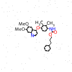 COc1cc2nccc(Oc3ccc(NC(=O)OCCCc4ccccc4)c(C)c3C)c2cc1OC